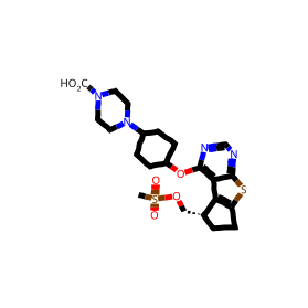 CS(=O)(=O)OC[C@H]1CCc2sc3ncnc(OC4CCC(N5CCN(C(=O)O)CC5)CC4)c3c21